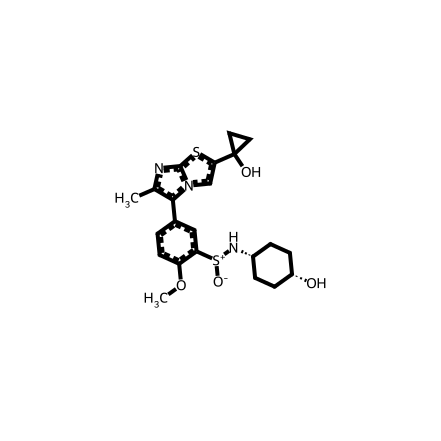 COc1ccc(-c2c(C)nc3sc(C4(O)CC4)cn23)cc1[S+]([O-])N[C@H]1CC[C@@H](O)CC1